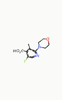 Cc1c(N2CCOCC2)ncc(F)c1C(=O)O